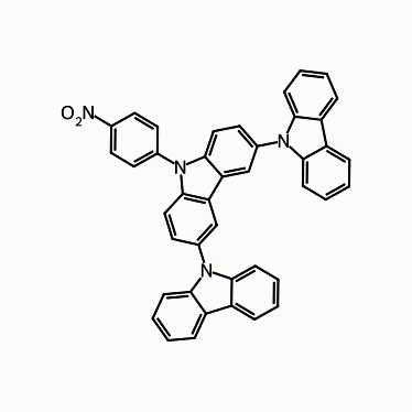 O=[N+]([O-])c1ccc(-n2c3ccc(-n4c5ccccc5c5ccccc54)cc3c3cc(-n4c5ccccc5c5ccccc54)ccc32)cc1